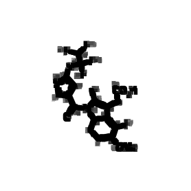 COC1=CCC2C(=C1F)C(CC(=O)O)=C(C)N2C(=O)c1csc(SC(F)(F)C(F)F)c1